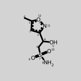 Cc1cc(C(O)CS(N)(=O)=O)no1